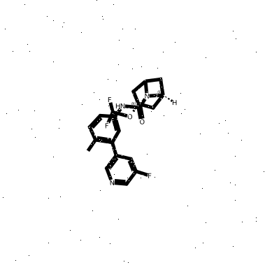 Cc1ccc(NC(=O)N2C3C[C@@H](OC(F)F)C[C@@H]2C3)cc1-c1cncc(F)c1